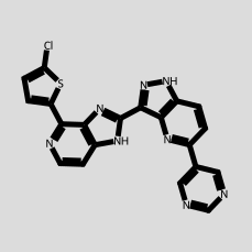 Clc1ccc(-c2nccc3[nH]c(-c4n[nH]c5ccc(-c6cncnc6)nc45)nc23)s1